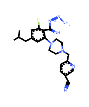 CC(C)Cc1cc(F)c(C(=N)/N=N\N)c(N2CCN(Cc3ccc(C#N)cn3)CC2)c1